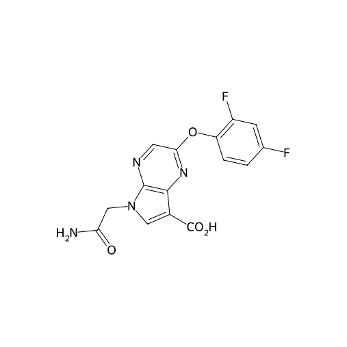 NC(=O)Cn1cc(C(=O)O)c2nc(Oc3ccc(F)cc3F)cnc21